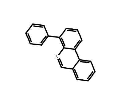 [c]1cccc(-c2cccc3c2ncc2ccccc23)c1